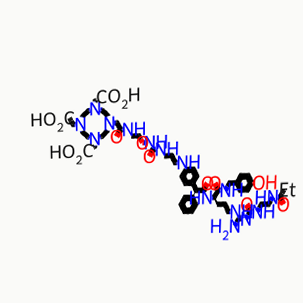 CCC(=O)NCCNC(=O)/N=C(/N)NCCC[C@@H](NC(=O)[C@H](c1ccccc1)c1ccc(NCCCNC(=O)NOCCNC(=O)CN2CCN(CC(=O)O)CCN(CC(=O)O)CCN(CC(=O)O)CC2)cc1)C(=O)NCc1ccc(O)cc1